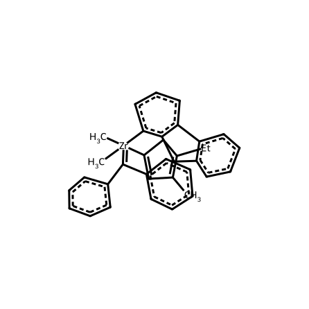 CCC1=C(C)C=[C]([Zr]([CH3])([CH3])(=[C](c2ccccc2)c2ccccc2)[c]2cccc3c2Cc2ccccc2-3)C1